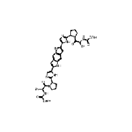 COC(=O)NC(C(=O)N1CCCC1c1ncc(-c2cc3cc4[nH]c(-c5cnc(C6CCCN6C(=O)C(NC(=O)OC)C(C)C)[nH]5)cc4cc3[nH]2)[nH]1)C(C)C